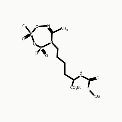 CCOC(=O)C(CCCCN1C(C)=NOP(=O)(Cl)OP1(=O)Cl)NC(=O)OC(C)(C)C